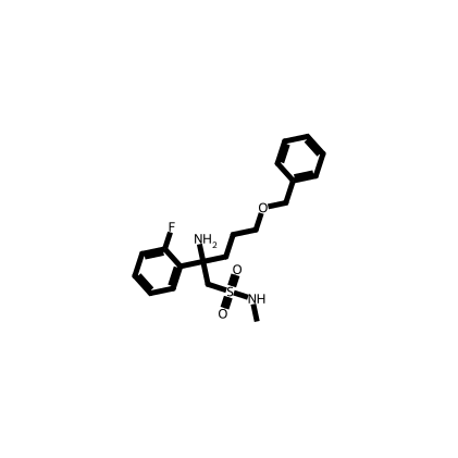 CNS(=O)(=O)CC(N)(CCCOCc1ccccc1)c1ccccc1F